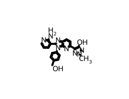 Cn1nc(O)c(-c2ccc3nc(-c4cccnc4N)n(-c4ccc(CO)cc4)c3n2)n1